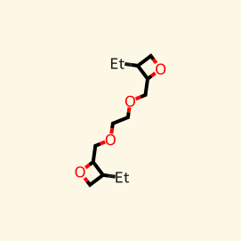 CCC1COC1COCCOCC1OCC1CC